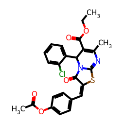 CCOC(=O)C1=C(C)N=c2s/c(=C/c3ccc(OC(C)=O)cc3)c(=O)n2C1c1ccccc1Cl